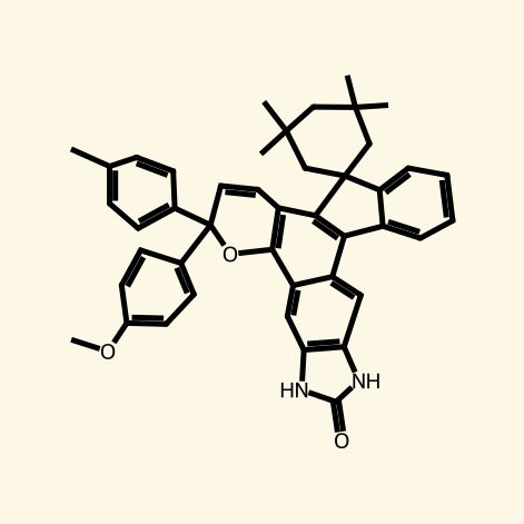 COc1ccc(C2(c3ccc(C)cc3)C=Cc3c4c(c5cc6[nH]c(=O)[nH]c6cc5c3O2)-c2ccccc2C42CC(C)(C)CC(C)(C)C2)cc1